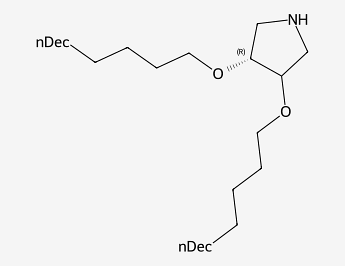 CCCCCCCCCCCCCCOC1CNC[C@H]1OCCCCCCCCCCCCCC